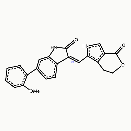 COc1ccccc1-c1ccc2c(c1)NC(=O)/C2=C\c1[nH]cc2c1CCOC2=O